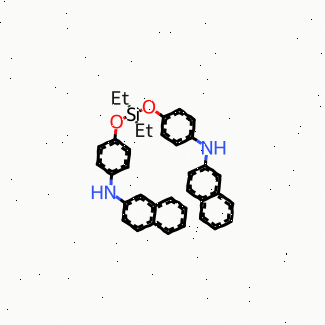 CC[Si](CC)(Oc1ccc(Nc2ccc3ccccc3c2)cc1)Oc1ccc(Nc2ccc3ccccc3c2)cc1